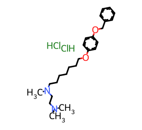 CN(C)CCN(C)CCCCCCCOc1ccc(OCc2ccccc2)cc1.Cl.Cl